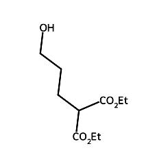 CCOC(=O)C(CCCO)C(=O)OCC